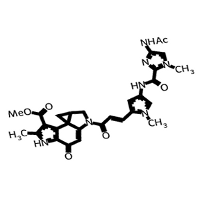 COC(=O)c1c(C)[nH]c2c1C13CC1CN(C(=O)/C=C/c1cc(NC(=O)c4nc(NC(C)=O)cn4C)cn1C)C3=CC2=O